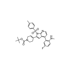 CNc1ccc(F)cc1-c1ccnc2c1cc(C1=CCN(C(=O)OC(C)(C)C)CC1)n2S(=O)(=O)c1ccc(C)cc1